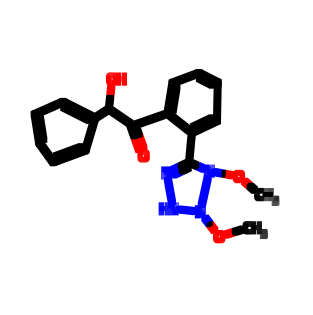 CON1NN=C(c2ccccc2C(=O)C(O)c2ccccc2)N1OC